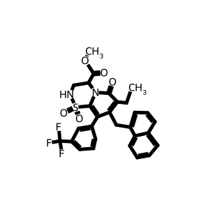 CCc1c(Cc2cccc3ccccc23)c(-c2cccc(C(F)(F)F)c2)c2n(c1=O)C(C(=O)OC)CNS2(=O)=O